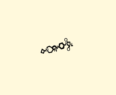 CN1CC(=O)N(c2ccc(-n3cc4c(n3)CCN(C3CCC3)CC4)cc2)C1=O